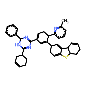 Cc1cccc(C2CC=C(C3=NC(c4ccccc4)NC(C4CC=CCC4)=N3)C=C2C2C=C3C(=CC2)SC2CCC=CC32)n1